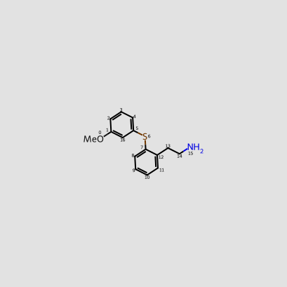 COc1cccc(Sc2ccccc2CCN)c1